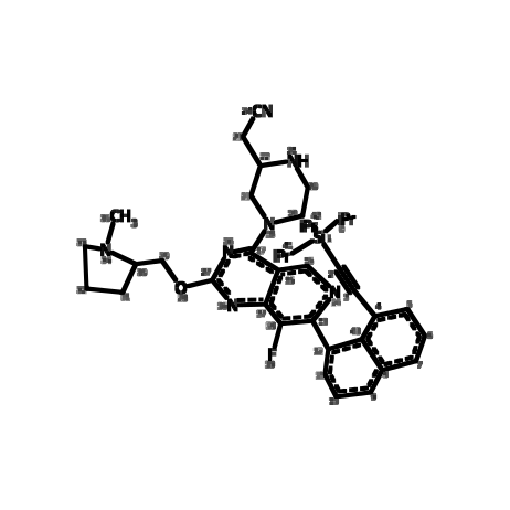 CC(C)[Si](C#Cc1cccc2cccc(-c3ncc4c(N5CCNC(CC#N)C5)nc(OCC5CCCN5C)nc4c3F)c12)(C(C)C)C(C)C